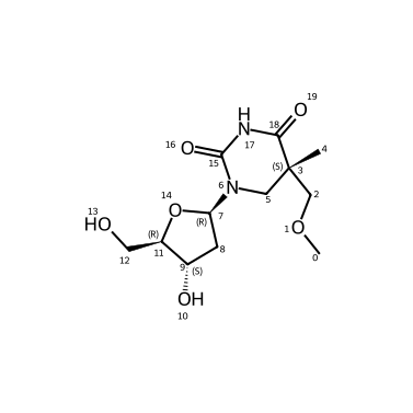 COC[C@]1(C)CN([C@H]2C[C@H](O)[C@@H](CO)O2)C(=O)NC1=O